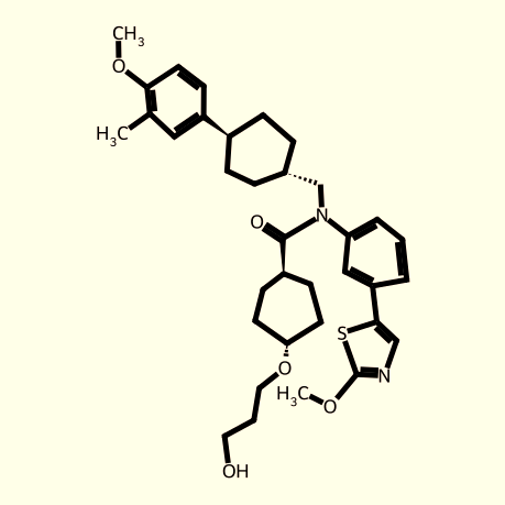 COc1ncc(-c2cccc(N(C[C@H]3CC[C@H](c4ccc(OC)c(C)c4)CC3)C(=O)[C@H]3CC[C@H](OCCCO)CC3)c2)s1